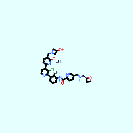 COc1nc(-c2ccnc(-c3cccc(NC(=O)c4ccc(CNC[C@@H]5CCO5)cn4)c3C)c2Cl)ccc1CN1CC(O)C1